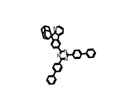 c1ccc(-c2ccc(-c3nc(-c4ccc(-c5ccccc5)cc4)nc(-c4ccc5c(c4)-c4cccnc4C54C5CC6CC(C5)CC4C6)n3)cc2)cc1